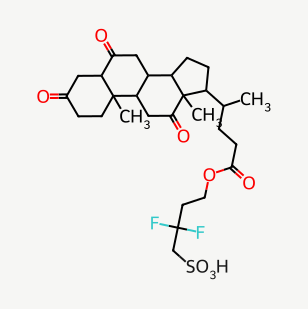 CC(CCC(=O)OCCC(F)(F)CS(=O)(=O)O)C1CCC2C3CC(=O)C4CC(=O)CCC4(C)C3CC(=O)C12C